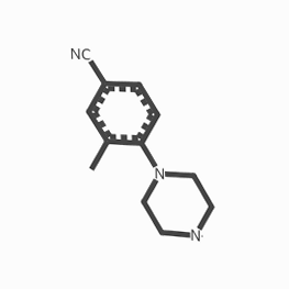 Cc1cc(C#N)ccc1N1CC[N]CC1